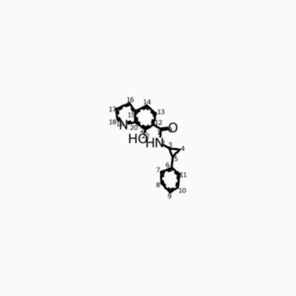 O=C(NC1CC1c1ccccc1)c1ccc2cccnc2c1O